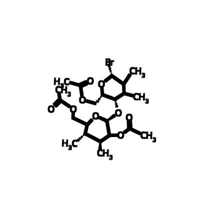 CC(=O)OCC1O[C@@H](O[C@H]2C(C)C(C)[C@@H](Br)O[C@H]2COC(C)=O)C(OC(C)=O)[C@@H](C)[C@@H]1C